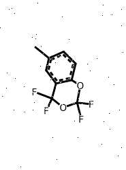 Cc1ccc2c(c1)C(F)(F)OC(F)(F)O2